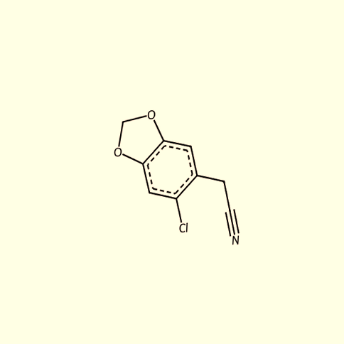 N#CCc1cc2c(cc1Cl)OCO2